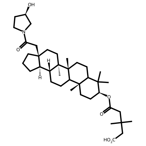 CC(C)(CC(=O)O)CC(=O)O[C@H]1CC[C@@]2(C)C(CC[C@]3(C)C2CC[C@@H]2[C@H]4CCC[C@]4(CC(=O)N4CC[C@@H](O)C4)CC[C@]23C)C1(C)C